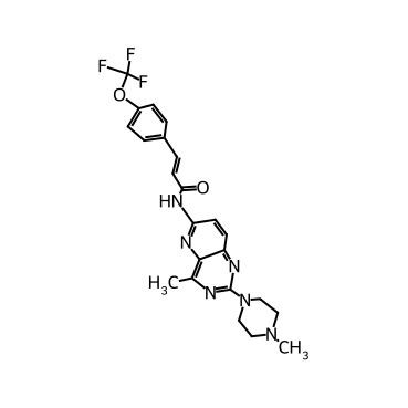 Cc1nc(N2CCN(C)CC2)nc2ccc(NC(=O)C=Cc3ccc(OC(F)(F)F)cc3)nc12